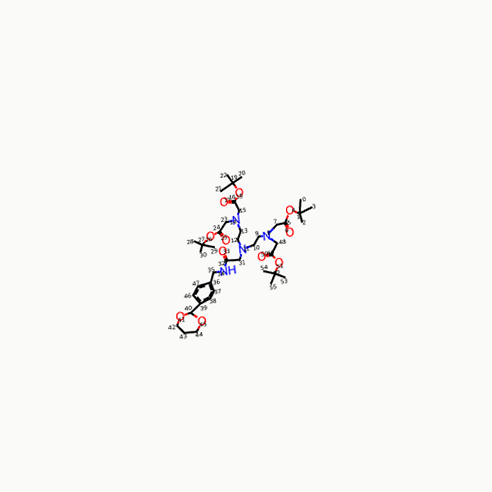 CC(C)(C)OC(=O)CN(CCN(CCN(CC(=O)OC(C)(C)C)CC(=O)OC(C)(C)C)CC(=O)NCc1ccc(C2OCCCO2)cc1)CC(=O)OC(C)(C)C